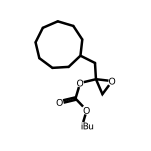 CCC(C)OC(=O)OC1(CC2CCCCCCCC2)CO1